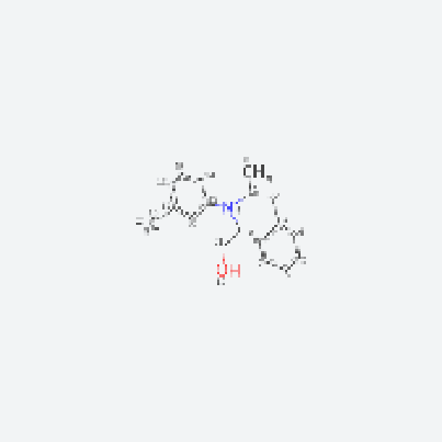 CC(Cc1ccccc1)N(CCO)c1cccc(C(F)(F)F)c1